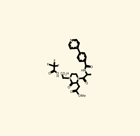 COC(=O)CC1C(=O)N(CC(=O)O)CCN1C(=O)C(C)NC(=O)c1ccc(-c2ccncc2)cc1.O=C(O)C(F)(F)F